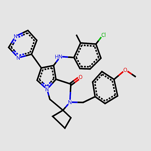 COc1ccc(CN2C(=O)c3c(Nc4cccc(Cl)c4C)c(-c4ccncn4)cn3CC23CCC3)cc1